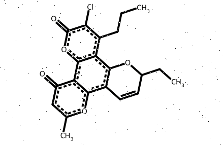 CCCc1c(Cl)c(=O)oc2c1c1c(c3oc(C)cc(=O)c32)[C]=CC(CC)O1